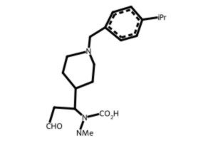 CNN(C(=O)O)C(CC=O)C1CCN(Cc2ccc(C(C)C)cc2)CC1